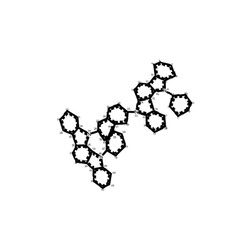 c1ccc(-n2c3ccccc3c3ccc4c(c5ccccc5n4-c4ccc5cc(-n6c7ccccc7c7ccc8c9ccccc9n(-c9ccccc9)c8c76)ccc5c4)c32)cc1